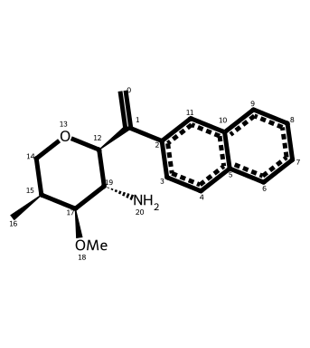 C=C(c1ccc2ccccc2c1)[C@@H]1OC[C@H](C)[C@H](OC)[C@H]1N